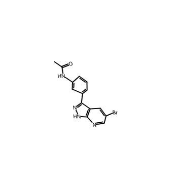 CC(=O)Nc1cccc(-c2n[nH]c3ncc(Br)cc23)c1